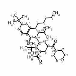 CCCCCCc1nc(C(C)(C)C)ncc1C(=O)N(CC(C)C)[C@H]1C[C@@H](C(=O)N2CCOCC2)CN(C(=O)O)C1C(C)(C)C